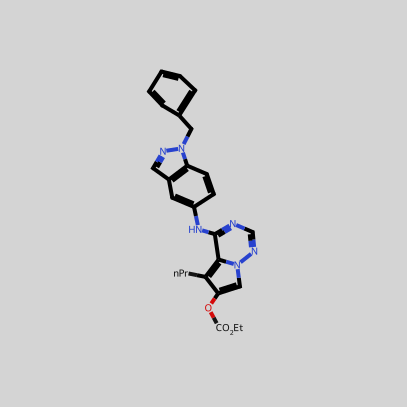 CCCc1c(OC(=O)OCC)cn2ncnc(Nc3ccc4c(cnn4Cc4ccccc4)c3)c12